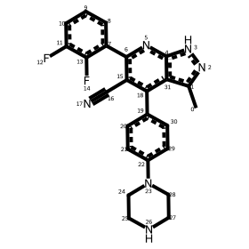 Cc1n[nH]c2nc(-c3cccc(F)c3F)c(C#N)c(-c3ccc(N4CCNCC4)cc3)c12